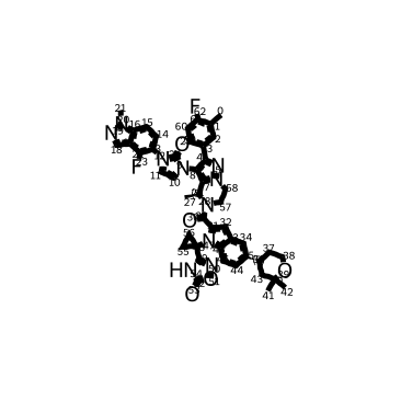 Cc1cc(-c2nn3c(c2-n2ccn(-c4ccc5c(cnn5C)c4F)c2=O)[C@H](C)N(C(=O)c2cc4cc([C@@H]5CCOC(C)(C)C5)ccc4n2C2(c4noc(=O)[nH]4)CC2)CC3)ccc1F